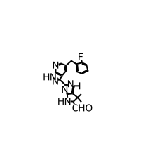 CC1(C)c2c(I)nc(-c3n[nH]c4ncc(Cc5ccccc5F)cc34)nc2NC1C=O